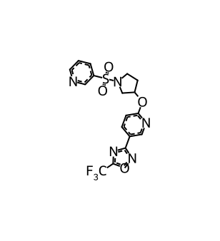 O=S(=O)(c1cccnc1)N1CCC(Oc2ccc(-c3noc(C(F)(F)F)n3)cn2)C1